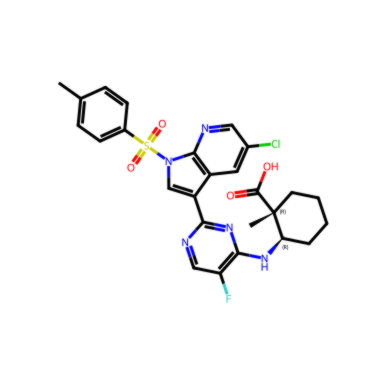 Cc1ccc(S(=O)(=O)n2cc(-c3ncc(F)c(N[C@@H]4CCCC[C@@]4(C)C(=O)O)n3)c3cc(Cl)cnc32)cc1